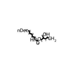 C=CCC(CO)COC(=O)NCCCCCCCCCCCCCCC